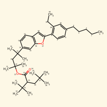 CCCCCc1ccc(-c2cc3ccc(C(C)(C)CC(C)(C)OC(=O)C(CC(C)(C)C)C(C)(C)C)cc3o2)c(CC)c1